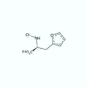 CCOC(=O)[C@H](Cc1ccco1)NCl